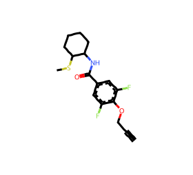 C#CCOc1c(F)cc(C(=O)NC2CCCCC2SC)cc1F